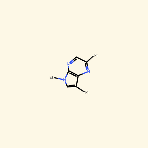 CCn1cc(C(C)C)c2nc(C(C)C)cnc21